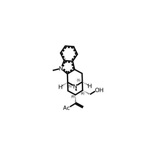 C=C(C(C)=O)[C@@H]1C[C@H]2c3c(c4ccccc4n3C)C[C@@H]([C@@H]1CO)N2C